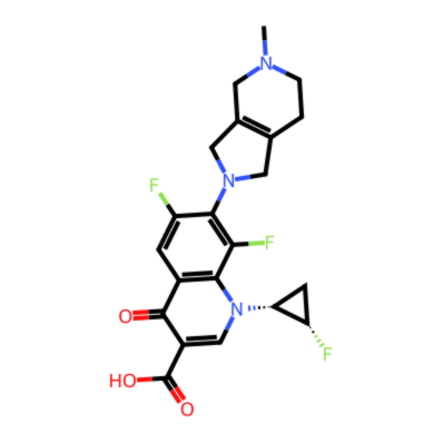 CN1CCC2=C(C1)CN(c1c(F)cc3c(=O)c(C(=O)O)cn([C@@H]4C[C@@H]4F)c3c1F)C2